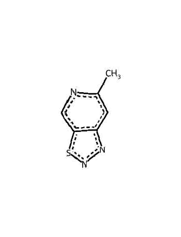 Cc1cc2nnsc2cn1